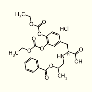 CCOC(=O)Oc1ccc(C[C@H](NCC(C)OC(=O)c2ccccc2)C(=O)O)cc1OC(=O)OCC.Cl